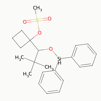 CC(C)(C)C(O[SiH](c1ccccc1)c1ccccc1)C1(OS(C)(=O)=O)CCC1